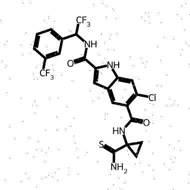 NC(=S)C1(NC(=O)c2cc3cc(C(=O)NC(c4cccc(C(F)(F)F)c4)C(F)(F)F)[nH]c3cc2Cl)CC1